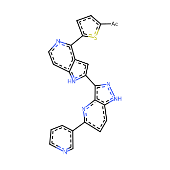 CC(=O)c1ccc(-c2nccc3[nH]c(-c4n[nH]c5ccc(-c6cccnc6)nc45)cc23)s1